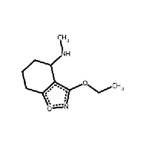 CCOc1noc2c1C(NC)CCC2